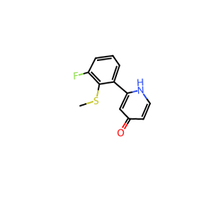 CSc1c(F)cccc1-c1cc(=O)cc[nH]1